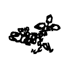 CC(C)O/N=C(\C(=O)NC1C(=O)N2C(C(=O)O)=C(CCl)C[S+]([O-])[C@H]12)c1csc(NC(c2ccccc2)(c2ccccc2)c2ccccc2)n1